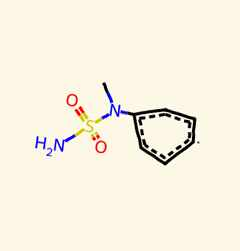 CN(c1cc[c]cc1)S(N)(=O)=O